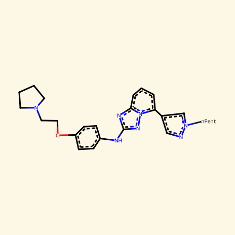 CCCCCn1cc(-c2cccc3nc(Nc4ccc(OCCN5CCCC5)cc4)nn23)cn1